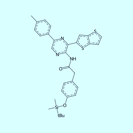 Cc1ccc(-c2cnc(NC(=O)Cc3ccc(O[Si](C)(C)C(C)(C)C)cc3)c(-c3cc4sccc4s3)n2)cc1